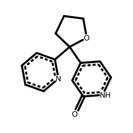 O=c1cc(C2(c3ccccn3)CCCO2)cc[nH]1